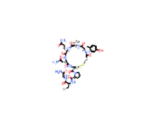 CC[C@H](C)[C@@H]1NC(=O)[C@H](Cc2ccc(O)cc2)NC(=O)CCSSC[C@H](C(=O)N2CCC[C@H]2C(=O)N[C@@H](CC(C)C)C(=O)NCC(N)=O)NC(=O)[C@H](CC(N)=O)NC(=O)[C@H](CCC(N)=O)NC1=O